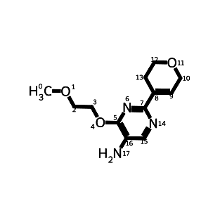 COCCOc1nc(C2=CCOCC2)ncc1N